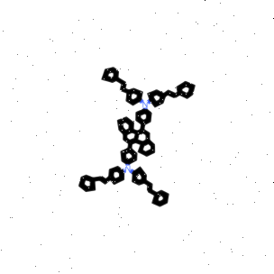 C1=CCC2=C(C1)CC(c1ccc(N(c3ccc(C=Cc4ccccc4)cc3)c3ccc(C=Cc4ccccc4)cc3)cc1)=C1C2=C(c2ccc(N(c3ccc(C=Cc4ccccc4)cc3)c3ccc(C=Cc4ccccc4)cc3)cc2)Cc2ccccc21